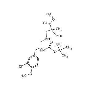 COC(=O)C(C)(CO)CNC[C@@H](Cc1ccc(OC)c(Cl)c1)NC(=O)OC(C)(C)C